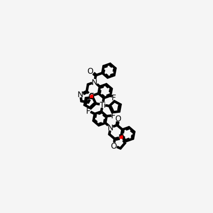 O=C(c1ccccc1)N(CC1=NCCO1)c1ccc(F)[c]([Ti]([C]2=CC=CC2)([C]2=CC=CC2)[c]2c(F)ccc(N(CC3=NCCO3)C(=O)c3ccccc3)c2F)c1F